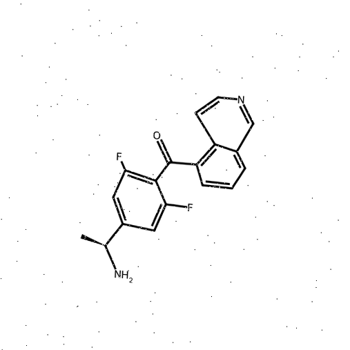 C[C@H](N)c1cc(F)c(C(=O)c2cccc3cnccc23)c(F)c1